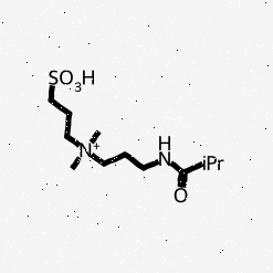 CC(C)C(=O)NCCC[N+](C)(C)CCCS(=O)(=O)O